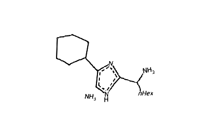 CCCCCCC(N)c1nc(C2CCCCC2)c[nH]1.N